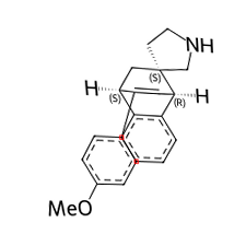 COc1ccc(C2=C[C@@H]3c4ccccc4[C@H]2C[C@]32CCNC2)cc1